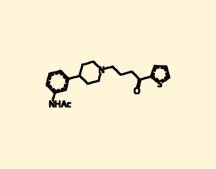 CC(=O)Nc1cccc(C2CCN(CCCC(=O)c3cccs3)CC2)c1